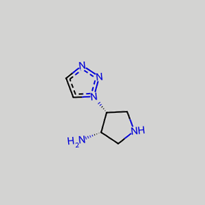 N[C@H]1CNC[C@H]1n1ccnn1